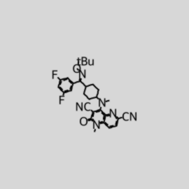 CN(c1c(C#N)c(=O)n(C)c2ccc(C#N)nc12)C1CCC(/C(=N/OC(C)(C)C)c2cc(F)cc(F)c2)CC1